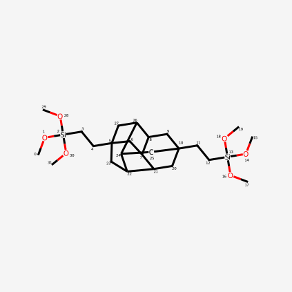 CO[Si](CCC12CC3C4CC5(CC[Si](OC)(OC)OC)CC3C(C1)C(C5)C4C2)(OC)OC